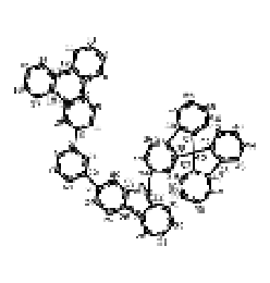 c1cc(-c2ccc3c4ccccc4c4ccccc4c3c2)cc(-c2ccc3c4ccccc4n(-c4ccc5c(c4)C4(c6ccccc6-c6ccccc64)c4ccccc4-5)c3c2)c1